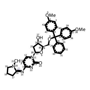 COc1ccc(C(OC[C@H]2O[C@@H](n3ccc(/N=C4/CCCN4C)nc3=O)C[C@H]2O)(c2ccccc2)c2ccc(OC)cc2)cc1